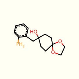 OC1(Cc2ccccc2P)CCC2(CC1)OCCO2